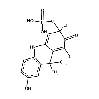 CC1(C)C2=C(Cl)C(=O)C(Cl)(OP(=O)(O)O)C=C2Nc2ccc(O)cc21